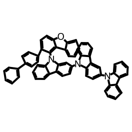 c1ccc(-c2ccc(-c3ccc4oc5ccccc5c4c3-n3c4ccccc4c4ccc(-n5c6ccccc6c6cc(-n7c8ccccc8c8ccccc87)ccc65)cc43)cc2)cc1